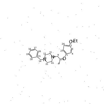 CCOc1ccc(OC(C)CN2CCN(Cc3ccccc3)CC2)cc1